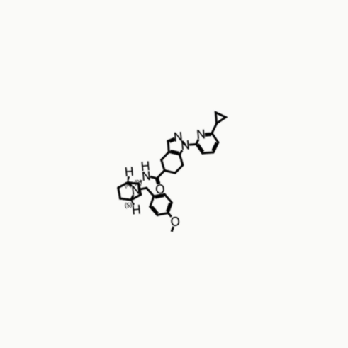 COc1ccc(CN2[C@H]3CC[C@@H]2[C@H](NC(=O)C2CCc4c(cnn4-c4cccc(C5CC5)n4)C2)C3)cc1